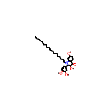 CCCCCCCCCCCCCCCCC=Cn1c(-c2ccc(OC)c(OC)c2)c(OC)c(=O)c2ccc(OC)cc21